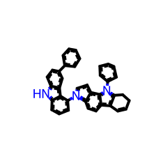 C1=Cc2c(n(-c3ccccc3)c3c2ccc2c3ccn2-c2cccc3[nH]c4ccc(-c5ccccc5)cc4c23)CC1